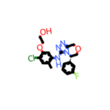 Cc1cc(Cl)c(OCCO)cc1Nc1nnc2n1[C@@H](c1cccc(F)c1)COC2